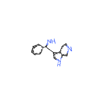 N=C(c1ccccc1)c1c[nH]c2cnccc12